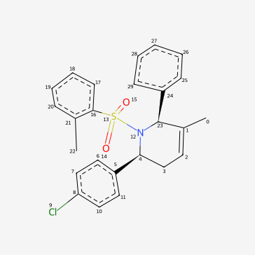 CC1=CC[C@@H](c2ccc(Cl)cc2)N(S(=O)(=O)c2ccccc2C)[C@H]1c1ccccc1